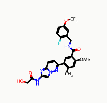 COc1cc(C)c(-c2ccc3nc(NC(=O)CO)cn3n2)cc1C(=O)NCc1cc(OC(F)(F)F)ccc1F